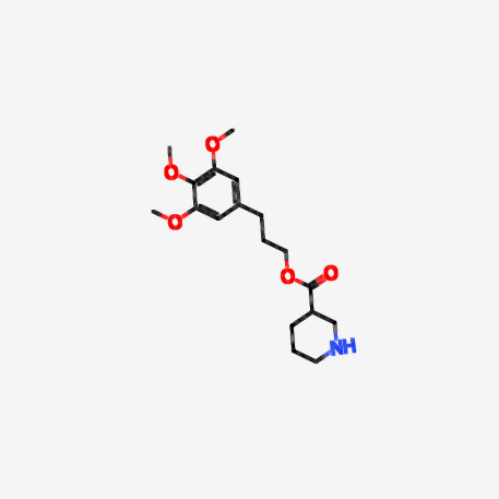 COc1cc(CCCOC(=O)C2CCCNC2)cc(OC)c1OC